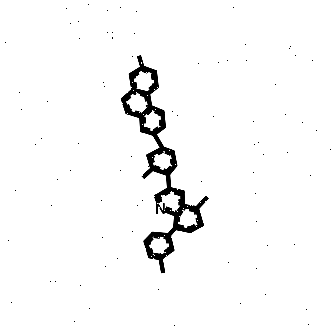 Cc1cccc(-c2ccc(C)c3cc(-c4ccc(-c5ccc6c(ccc7cc(C)ccc76)c5)cc4C)cnc23)c1